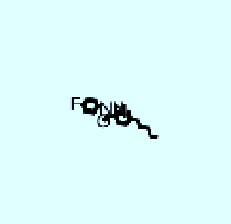 CCCCCc1ccc(C(=O)Nc2ccc(F)cc2)nc1